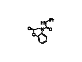 CC(C)NC(=O)N1CC(=O)Oc2ccccc21